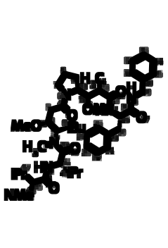 CC[C@H](C)[C@@H]([C@@H](CC(=O)N1CCC[C@H]1[C@H](OC)[C@@H](C)C(=O)N[C@@H](Cc1ccccc1)C(=O)NCc1ccccc1)OC)N(C)C(=O)[C@@H](NC(=O)[C@@H](NC)C(C)C)C(C)C